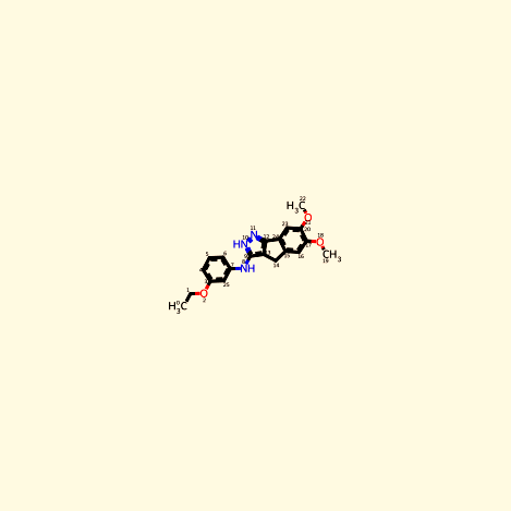 CCOc1cccc(Nc2[nH]nc3c2Cc2cc(OC)c(OC)cc2-3)c1